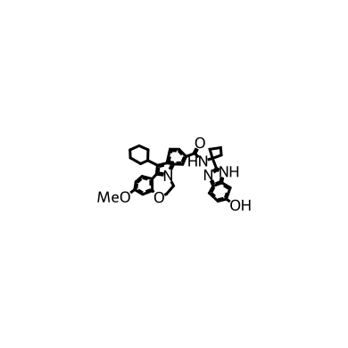 COc1ccc2c(c1)OCCn1c-2c(C2CCCCC2)c2ccc(C(=O)NC3(c4nc5ccc(O)cc5[nH]4)CCC3)cc21